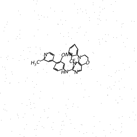 COc1cc(Nc2ncc3c(n2)N(c2ccccc2C(F)(F)F)CCO3)ccc1-c1ccnc(C)c1